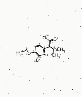 CCOc1ccc(C(C(=O)Cl)C(C)C)cc1Br